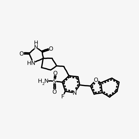 NS(=O)(=O)c1c(CC2CCC3(C2)NC(=O)NC3=O)cc(-c2cc3ccccc3o2)nc1F